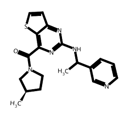 CC(Nc1nc(C(=O)N2CC[C@@H](C)C2)c2sccc2n1)c1cccnc1